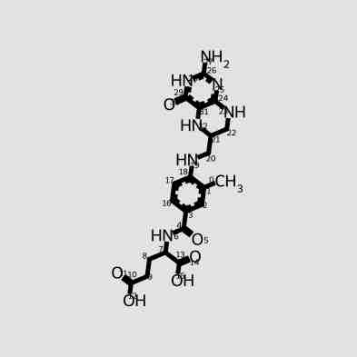 Cc1cc(C(=O)NC(CCC(=O)O)C(=O)O)ccc1NCC1CNc2nc(N)[nH]c(=O)c2N1